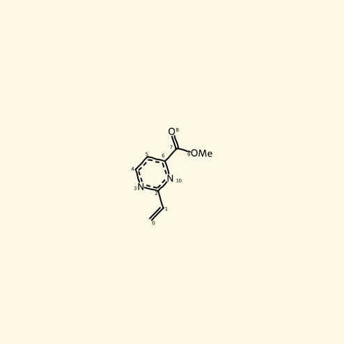 C=Cc1nccc(C(=O)OC)n1